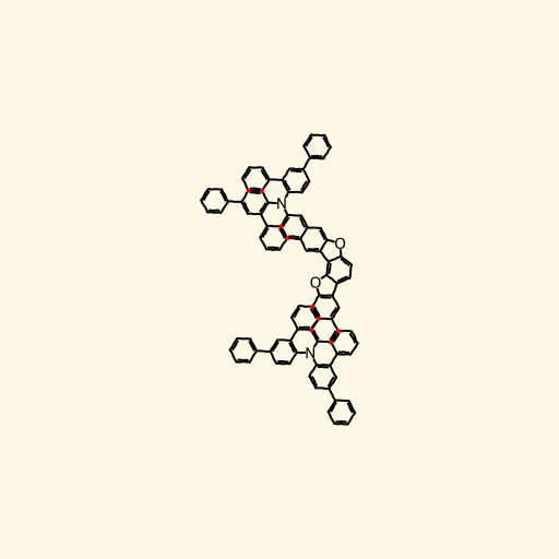 c1ccc(-c2ccc(N(c3ccc4cc5c(cc4c3)oc3c5ccc4oc5cc6cc(N(c7ccc(-c8ccccc8)cc7-c7ccccc7)c7ccc(-c8ccccc8)cc7-c7ccccc7)ccc6cc5c43)c3ccc(-c4ccccc4)cc3-c3ccccc3)c(-c3ccccc3)c2)cc1